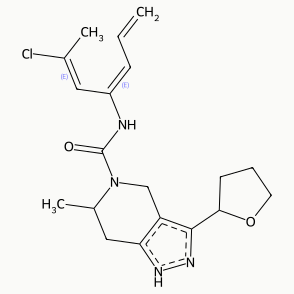 C=C/C=C(\C=C(/C)Cl)NC(=O)N1Cc2c(C3CCCO3)n[nH]c2CC1C